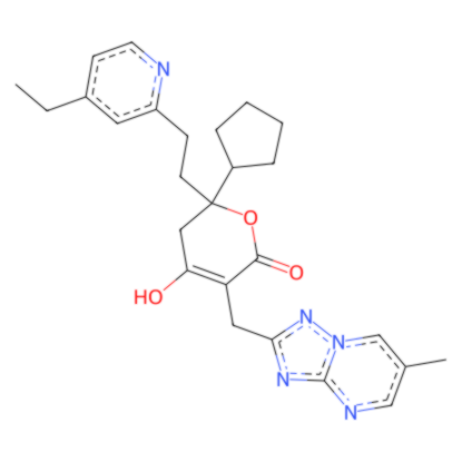 CCc1ccnc(CCC2(C3CCCC3)CC(O)=C(Cc3nc4ncc(C)cn4n3)C(=O)O2)c1